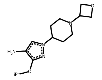 CC(C)Oc1nn(C2CCN(C3COC3)CC2)cc1N